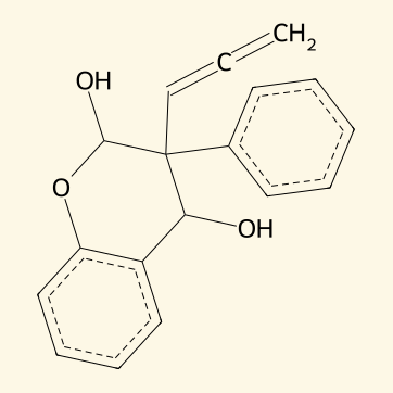 C=C=CC1(c2ccccc2)C(O)Oc2ccccc2C1O